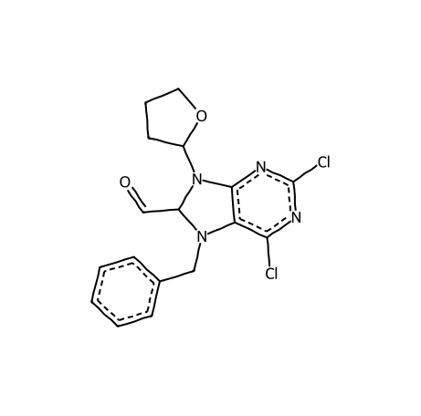 O=CC1N(Cc2ccccc2)c2c(Cl)nc(Cl)nc2N1C1CCCO1